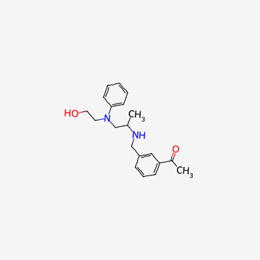 CC(=O)c1cccc(CNC(C)CN(CCO)c2ccccc2)c1